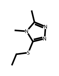 CCSc1nnc(C)n1C